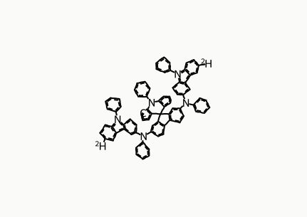 [2H]c1ccc2c(c1)c1cc(N(c3ccccc3)c3ccc4c(c3)C3(c5cc(N(c6ccccc6)c6ccc7c(c6)c6cc([2H])ccc6n7-c6ccccc6)ccc5-4)c4ccccc4N(c4ccccc4)c4ccccc43)ccc1n2-c1ccccc1